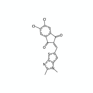 Cc1nc2sc(C=C3C(=O)c4cc(Cl)c(Cl)cc4C3=O)cc2n1C